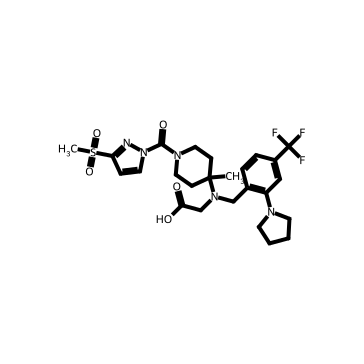 CC1(N(CC(=O)O)Cc2ccc(C(F)(F)F)cc2N2CCCC2)CCN(C(=O)n2ccc(S(C)(=O)=O)n2)CC1